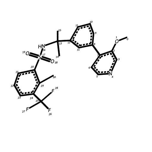 COc1cnccc1-c1cccc(C(C)(C)NS(=O)(=O)c2cccc(C(F)(F)F)c2C)c1